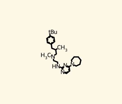 CC(Cc1ccc(C(C)(C)C)cc1)CN(C)CCNc1nccc(N2CCCCCC2)n1